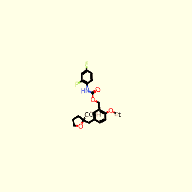 CCOc1ccc(CC2(C(=O)O)CCCO2)cc1COC(=O)Nc1ccc(F)cc1F